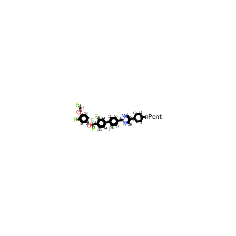 CCCCCC1CCC(c2cnc(-c3ccc(-c4cc(F)c(C(F)(F)Oc5ccc(OCF)c(F)c5)c(F)c4)c(F)c3)nc2)CC1